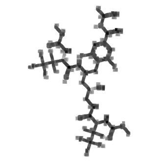 COC(=O)NC(C(=O)NC[C@@H](O)CN(Cc1c(F)cc(C(=N)OC(C)=N)cc1F)NC(=O)[C@@H](NC(=O)OC)C(C)(C)C(F)(F)F)C(C)(C)C(F)(F)F